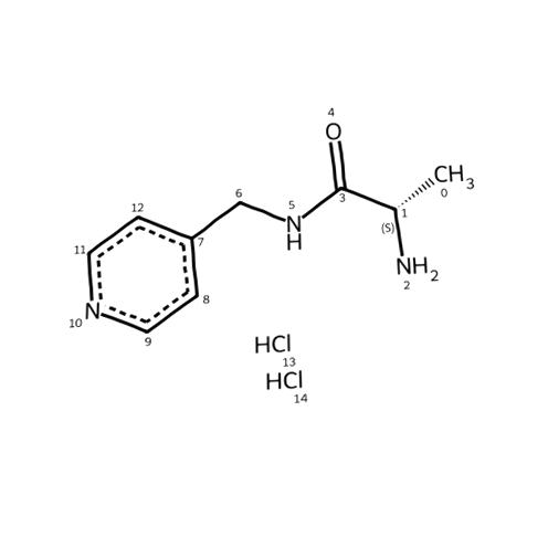 C[C@H](N)C(=O)NCc1ccncc1.Cl.Cl